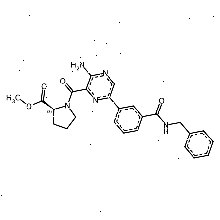 COC(=O)[C@@H]1CCCN1C(=O)c1nc(-c2cccc(C(=O)NCc3ccccc3)c2)cnc1N